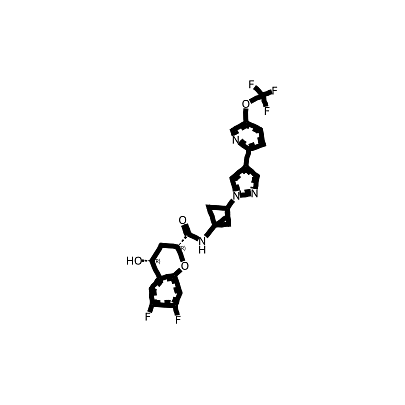 O=C(NC12CC(n3cc(-c4ccc(OC(F)(F)F)cn4)cn3)(C1)C2)[C@H]1C[C@@H](O)c2cc(F)c(F)cc2O1